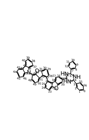 c1ccc(C2NC(c3ccccc3)NC(c3ccc4c(c3)oc3cccc(-c5cccc6oc7c(-n8c9ccccc9c9ccccc98)cccc7c56)c34)N2)cc1